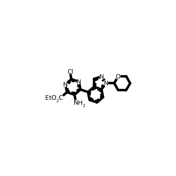 CCOC(=O)c1nc(Cl)nc(-c2cccc3c2cnn3C2CCCCO2)c1N